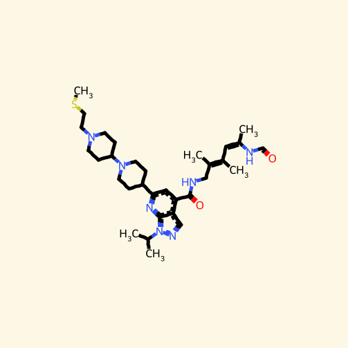 CSCCN1CCC(N2CCC(c3cc(C(=O)NC/C(C)=C(C)/C=C(/C)NC=O)c4cnn(C(C)C)c4n3)CC2)CC1